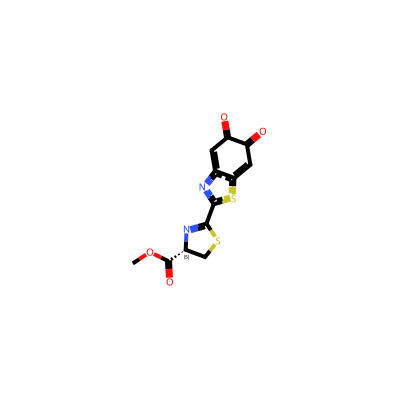 COC(=O)[C@H]1CSC(c2nc3c(s2)=CC(=O)C(=O)C=3)=N1